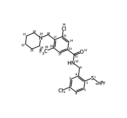 CCCSc1ccc(Cl)cc1CNC(=O)c1cc(Cl)c(CN2CCCCC2)c(C(F)(F)F)c1